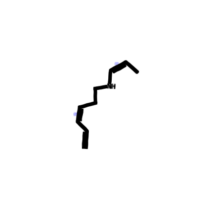 C=C/C=C\CCN/C=C\C